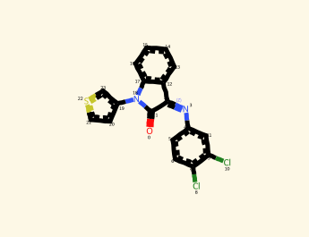 O=C1/C(=N\c2ccc(Cl)c(Cl)c2)c2ccccc2N1c1ccsc1